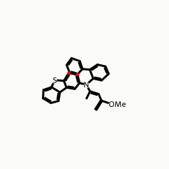 C=C(/C=C(\C)N(c1ccc2sc3ccccc3c2c1)c1ccccc1-c1ccccc1)OC